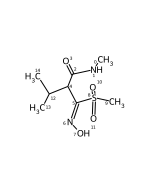 CNC(=O)C(C(=NO)S(C)(=O)=O)C(C)C